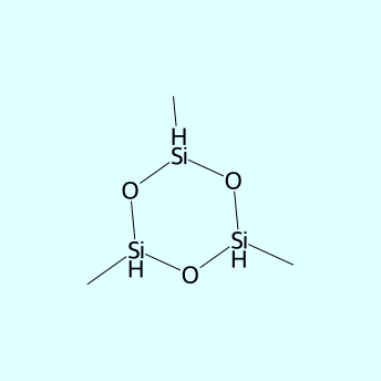 C[SiH]1O[SiH](C)O[SiH](C)O1